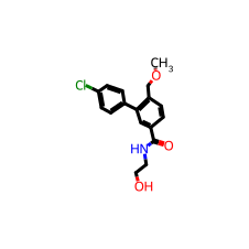 COCc1ccc(C(=O)NCCO)cc1-c1ccc(Cl)cc1